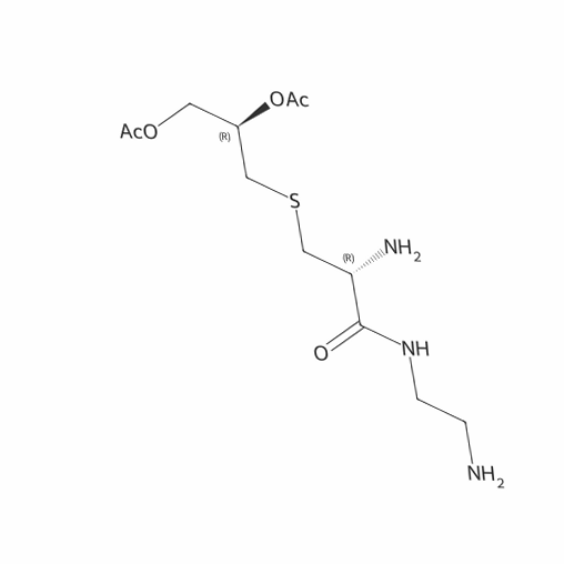 CC(=O)OC[C@H](CSC[C@H](N)C(=O)NCCN)OC(C)=O